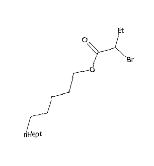 CCCCCCCCCCCCOC(=O)C(Br)CC